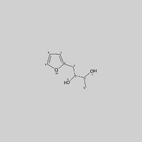 CC(O)C(O)Cc1ccco1